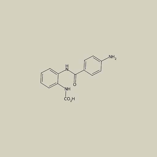 Nc1ccc(C(=O)Nc2ccccc2NC(=O)O)cc1